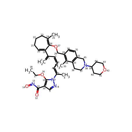 C=C(/C=C\C=C(/C)n1ncc(C(=O)N=O)c1OCC)C1=CCCCC(C)=C1OCc1ccc2c(c1C)CCN(C1CCOCC1)C2